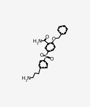 NCCCc1ccc(S(=O)(=O)c2ccc(OCc3ccccc3)c(C(N)=O)c2)cc1